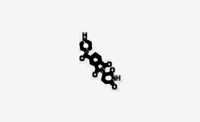 O=C1CCC(N2C(=O)c3ccc(C(=O)N4CCNCC4)cc3C2=O)C(=O)N1